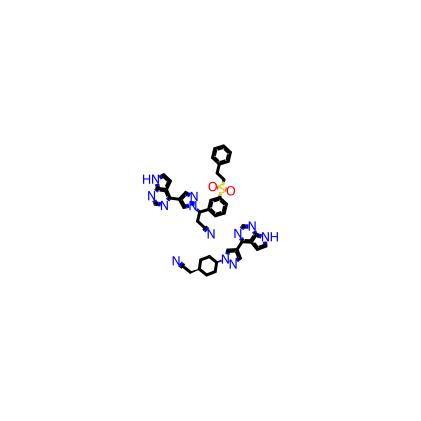 N#CCC(c1cccc(S(=O)(=O)CCc2ccccc2)c1)n1cc(-c2ncnc3[nH]ccc23)cn1.N#CC[C@H]1CC[C@@H](n2cc(-c3ncnc4[nH]ccc34)cn2)CC1